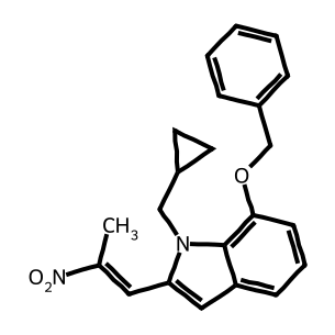 CC(=Cc1cc2cccc(OCc3ccccc3)c2n1CC1CC1)[N+](=O)[O-]